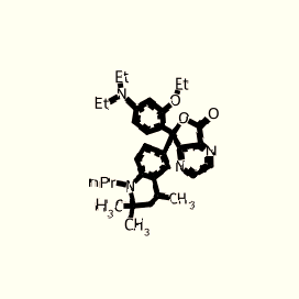 CCCN1c2ccc(C3(c4ccc(N(CC)CC)cc4OCC)OC(=O)c4nccnc43)cc2C(C)CC1(C)C